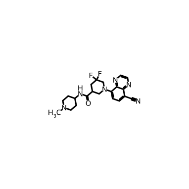 CN1CCC(NC(=O)C2CN(c3ccc(C#N)c4nccnc34)CC(F)(F)C2)CC1